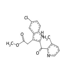 COC(=O)Cc1c(C(=O)c2ncccc2C)[nH]c2ccc(Cl)cc12